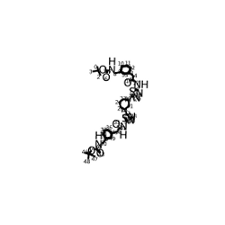 CC(C)(C)OC(=O)NCc1cccc(CC(=O)Nc2nnc([C@H]3CCC[C@H](c4nnc(NC(=O)Cc5cccc(CNC(=O)OC(C)(C)C)c5)s4)C3)s2)c1